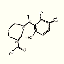 C[C@@H](c1c(O)ccc(Cl)c1Cl)N1CCC[C@H](C(=O)O)C1